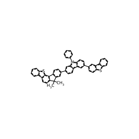 CC1(C)c2cc(-c3ccc4c5cc(-c6ccc7sc8ccccc8c7c6)ccc5n(-c5ccccc5)c4c3)ccc2-c2c1ccc1c2sc2ccccc21